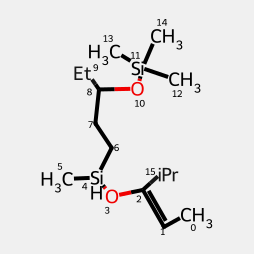 C/C=C(/O[SiH](C)CCC(CC)O[Si](C)(C)C)C(C)C